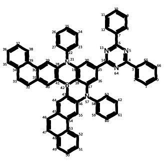 c1ccc(-c2nc(-c3ccccc3)nc(-c3cc4c5c(c3)N(c3ccccc3)c3cc6c(ccc7ccccc76)cc3B5c3cc5ccc6ccccc6c5cc3N4c3ccccc3)n2)cc1